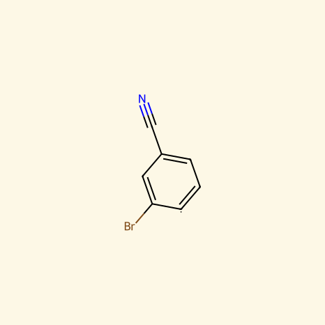 N#Cc1cc[c]c(Br)c1